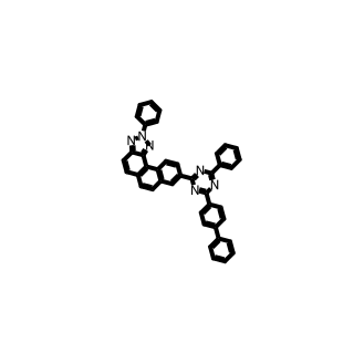 c1ccc(-c2ccc(-c3nc(-c4ccccc4)nc(-c4ccc5c(ccc6ccc7nn(-c8ccccc8)nc7c65)c4)n3)cc2)cc1